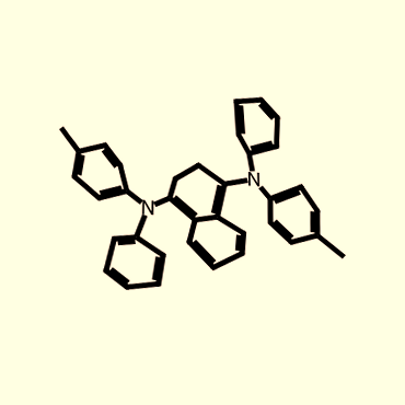 Cc1ccc(N(C2=c3ccccc3=C(N(c3ccccc3)c3ccc(C)cc3)CC2)c2ccccc2)cc1